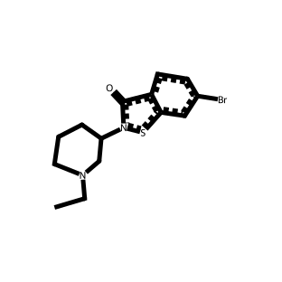 CCN1CCCC(n2sc3cc(Br)ccc3c2=O)C1